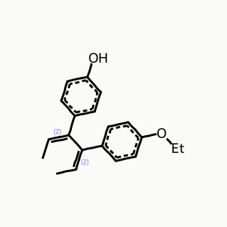 C/C=C(\C(=C/C)c1ccc(OCC)cc1)c1ccc(O)cc1